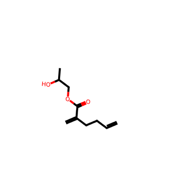 C=CCCC(=C)C(=O)OCC(C)O